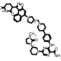 CN1CCN([C@@H]2CCCN(c3cnc(C(N)=O)c(Nc4ccc(C5CCN(C[C@H]6CCN(c7cc8onc(C9CCC(=O)NC9=O)c8c8ccccc78)C6)CC5)cc4)n3)C2)C1=O